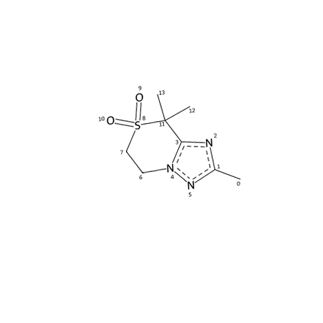 Cc1nc2n(n1)CCS(=O)(=O)C2(C)C